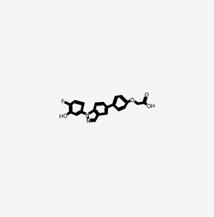 O=C(O)COc1ccc(-c2ccc3c(cnn3-c3ccc(F)c(O)c3)c2)cc1